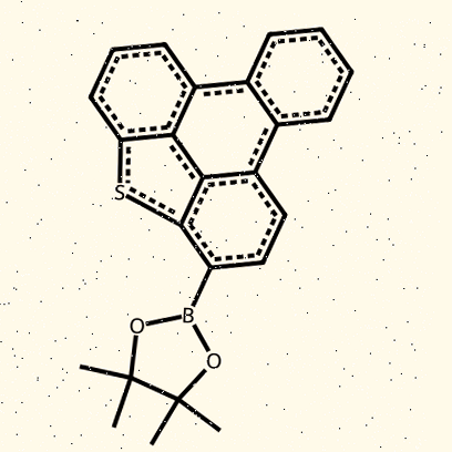 CC1(C)OB(c2ccc3c4ccccc4c4cccc5sc2c3c54)OC1(C)C